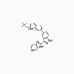 C=C/C(=C\C(=C/C)c1ccc2[nH]nc(-c3nc4ccncc4[nH]3)c2c1)NC(=C)CC(C)(C)C